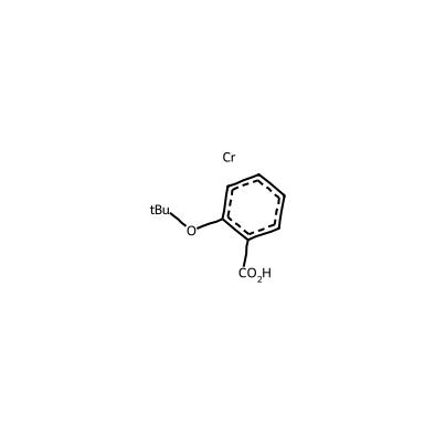 CC(C)(C)Oc1ccccc1C(=O)O.[Cr]